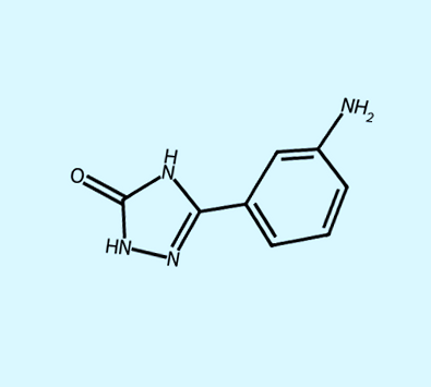 Nc1cccc(-c2n[nH]c(=O)[nH]2)c1